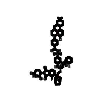 CC1(C)CCC(c2ccc(Cl)cc2)=C(CN2CCN(c3ccc(C(=O)NS(=O)(=O)c4ccc(N[C@H](CCN5CC6CCC(C5)N6Cc5ccc6c(c5F)C(=O)N(C5CCC(=O)NC5=O)C6=O)CSc5ccccc5)c(S(=O)(=O)C(F)(F)F)c4)cc3)CC2)C1